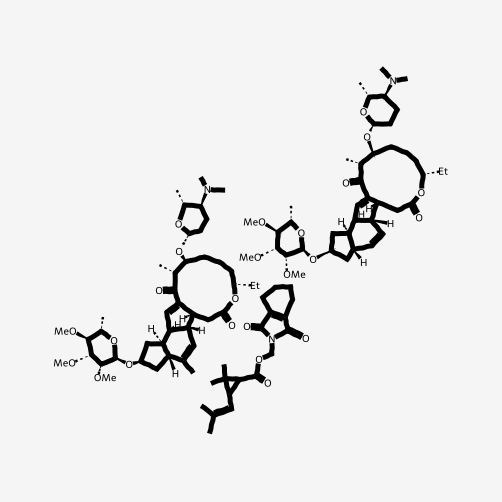 CC(C)=CC1C(C(=O)OCN2C(=O)C3=C(CCCC3)C2=O)C1(C)C.CC[C@H]1CCC[C@H](O[C@H]2CC[C@H](N(C)C)[C@@H](C)O2)[C@@H](C)C(=O)C2=C[C@@H]3[C@@H](C=C(C)[C@@H]4C[C@@H](O[C@@H]5O[C@@H](C)[C@H](OC)[C@@H](OC)[C@H]5OC)C[C@@H]34)[C@@H]2CC(=O)O1.CC[C@H]1CCC[C@H](O[C@H]2CC[C@H](N(C)C)[C@@H](C)O2)[C@@H](C)C(=O)C2=C[C@@H]3[C@@H](C=C[C@@H]4C[C@@H](O[C@@H]5O[C@@H](C)[C@H](OC)[C@@H](OC)[C@H]5OC)C[C@@H]34)[C@@H]2CC(=O)O1